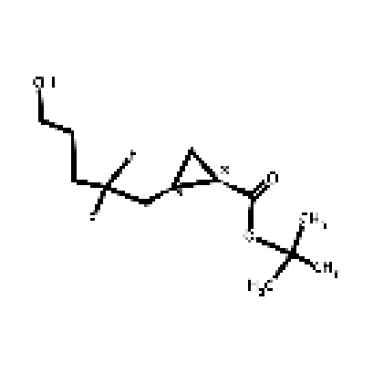 CC(C)(C)OC(=O)[C@@H]1C[C@@H]1CC(F)(F)CCCO